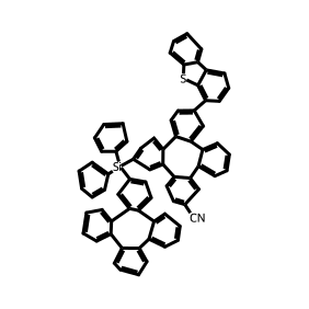 N#Cc1ccc2c(c1)-c1ccccc1-c1cc(-c3cccc4c3sc3ccccc34)ccc1-c1ccc([Si](c3ccccc3)(c3ccccc3)c3ccc4c(c3)-c3ccccc3-c3ccccc3-c3ccccc3-4)cc1-2